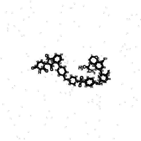 CC(C)N1CCOc2c(F)cc(-c3nc(Nc4ccc(S(=O)(=O)N5CCN(CC6CCN(c7cccc8c7C(=O)N(C7CCC(=O)NC7=O)C8=O)CC6)CC5)cc4)ncc3F)cc21